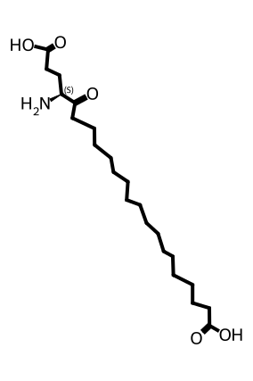 N[C@@H](CCC(=O)O)C(=O)CCCCCCCCCCCCCCCCC(=O)O